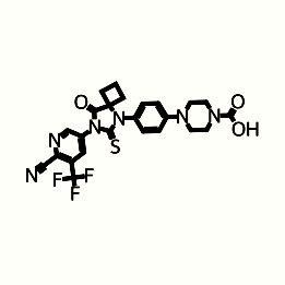 N#Cc1ncc(N2C(=O)C3(CCC3)N(c3ccc(N4CCN(C(=O)O)CC4)cc3)C2=S)cc1C(F)(F)F